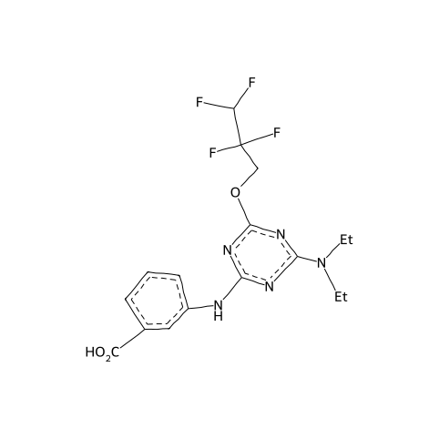 CCN(CC)c1nc(Nc2cccc(C(=O)O)c2)nc(OCC(F)(F)C(F)F)n1